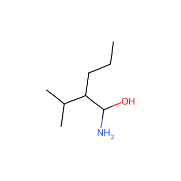 CCCC(C(C)C)C(N)O